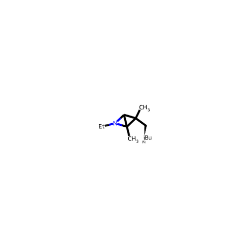 CC[C@H](C)CC1(C)C2N(CC)C21C